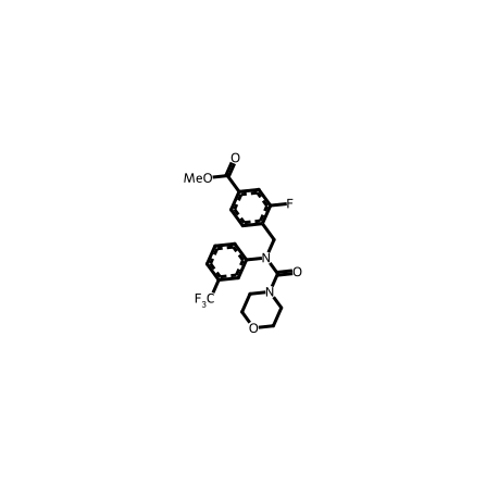 COC(=O)c1ccc(CN(C(=O)N2CCOCC2)c2cccc(C(F)(F)F)c2)c(F)c1